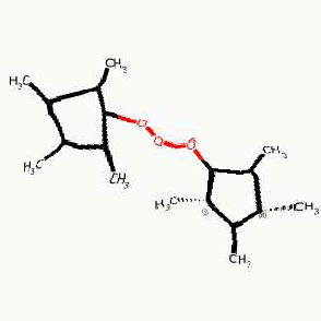 CC1C(C)C(C)C(OOOC2C(C)[C@H](C)C(C)[C@@H]2C)C1C